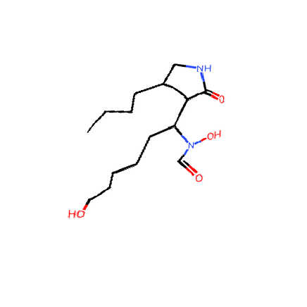 CCCCC1CNC(=O)C1C(CCCCCO)N(O)C=O